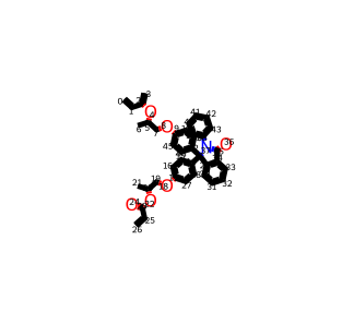 C=CC(=C)OC(C)COc1ccc(C2(c3ccc(OCC(C)OC(=O)C=C)cc3)c3ccccc3C(=O)N2c2ccccc2)cc1